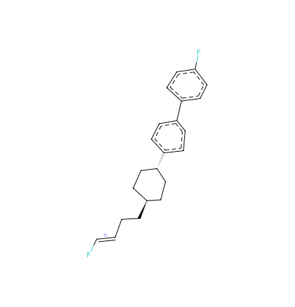 F/C=C/CC[C@H]1CC[C@H](c2ccc(-c3ccc(F)cc3)cc2)CC1